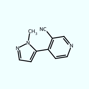 Cn1nccc1-c1ccncc1C#N